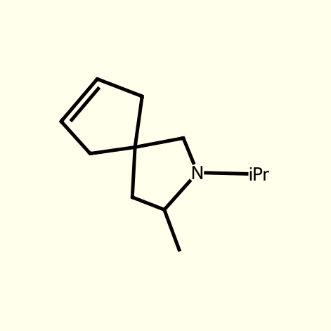 CC(C)N1CC2(CC=CC2)CC1C